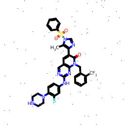 Cc1c(-c2cc3cnc(Nc4ccc(N5CCNCC5)c(F)c4)nc3n(Cc3ccccc3C(F)(F)F)c2=O)ncn1S(=O)(=O)c1ccccc1